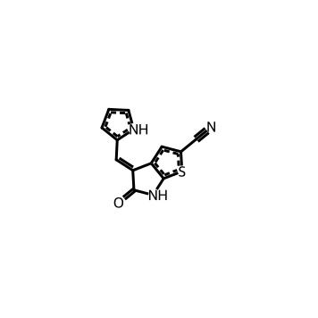 N#Cc1cc2c(s1)NC(=O)C2=Cc1ccc[nH]1